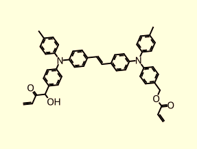 C=CC(=O)OCc1ccc(N(c2ccc(C)cc2)c2ccc(C=Cc3ccc(N(c4ccc(C)cc4)c4ccc(C(O)C(=O)C=C)cc4)cc3)cc2)cc1